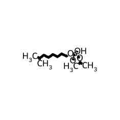 CC(C)CCCCCCOP(=O)(O)OC(C)C